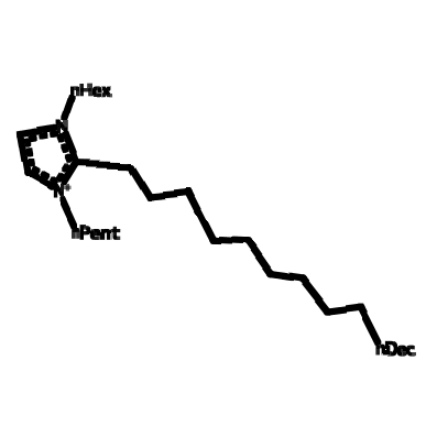 CCCCCCCCCCCCCCCCCCCc1n(CCCCCC)cc[n+]1CCCCC